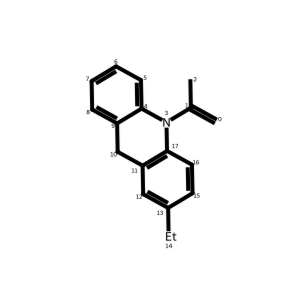 C=C(C)N1c2ccccc2Cc2cc(CC)ccc21